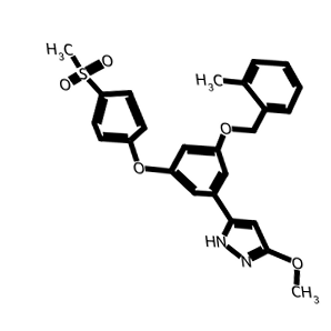 COc1cc(-c2cc(OCc3ccccc3C)cc(Oc3ccc(S(C)(=O)=O)cc3)c2)[nH]n1